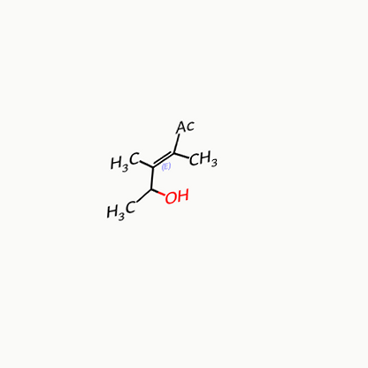 CC(=O)/C(C)=C(\C)C(C)O